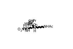 CC(=O)NCCCCCC(=O)N[C@@H](CCCNC(=N)N[N+](=O)[O-])C(=O)N[C@@H](CC(C)C)B(O)O